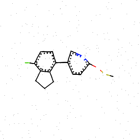 CSOc1ccc(-c2ccc(F)c3c2CCC3)cn1